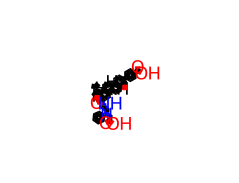 C=C(C)[C@@H]1CC[C@]2(C(=O)NCCN(CC(=O)O)c3ccccc3)CC[C@]3(C)[C@H](CC[C@@H]4[C@@]5(C)CC=C(c6ccc(C(=O)O)cc6)C(C)(C)[C@@H]5CC[C@]43C)[C@@H]12